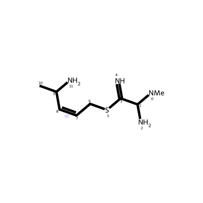 CNC(N)C(=N)SC/C=C\C(C)N